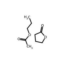 CCCOC(C)=O.O=C1CCCO1